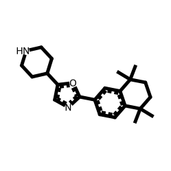 CC1(C)CCC(C)(C)c2cc(-c3ncc(C4CCNCC4)o3)ccc21